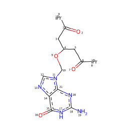 CC(C)C(=O)CC(CC(=O)C(C)C)OCn1cnc2c(=O)[nH]c(N)nc21